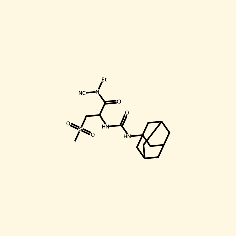 CCN(C#N)C(=O)C(CS(C)(=O)=O)NC(=O)NC12CC3CC(CC(C3)C1)C2